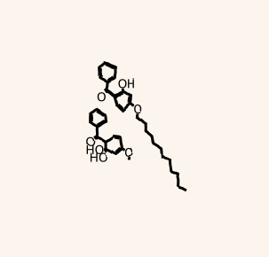 CCCCCCCCCCCCOc1ccc(C(=O)c2ccccc2)c(O)c1.COC1=CC(O)(O)C(C(=O)c2ccccc2)C=C1